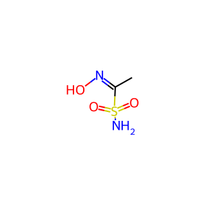 CC(=NO)S(N)(=O)=O